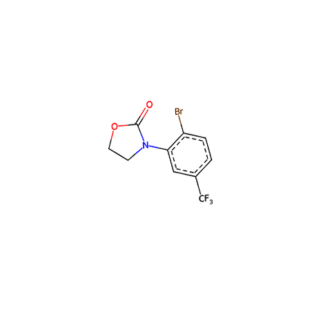 O=C1OCCN1c1cc(C(F)(F)F)ccc1Br